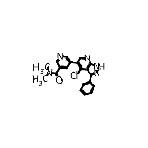 CN(C)C(=O)c1cncc(-c2cnc3[nH]nc(-c4ccccc4)c3c2Cl)c1